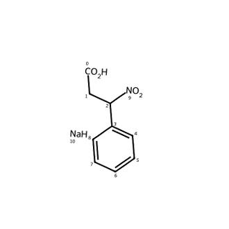 O=C(O)CC(c1ccccc1)[N+](=O)[O-].[NaH]